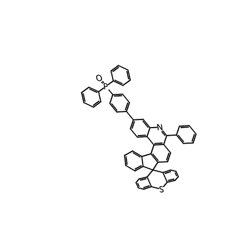 O=P(c1ccccc1)(c1ccccc1)c1ccc(-c2ccc3c(c2)nc(-c2ccccc2)c2ccc4c(c23)-c2ccccc2C42c3ccccc3Sc3ccccc32)cc1